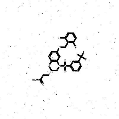 O=C(O)CC[C@H]1CN(S(=O)(=O)c2cccc(C(F)(F)F)c2)c2cc(OCc3c(F)cccc3Cl)ccc2O1